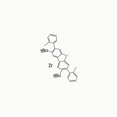 Cc1ccccc1-c1cc2c(cc1C(C)(C)C)-c1cc(C(C)(C)C)c(-c3ccccc3C)cc1[CH]2.[Zr]